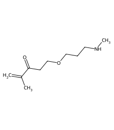 C=C(C)C(=O)CCOCCCNC